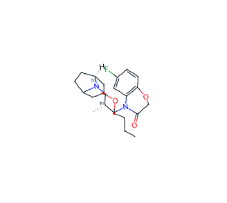 CCCCOC1CC2CC[C@@H](C1)N2C[C@@H](C)CN1C(=O)COc2ccc(F)cc21